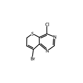 Clc1ncnc2c1SCC=C2Br